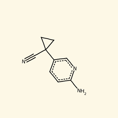 N#CC1(c2ccc(N)nc2)CC1